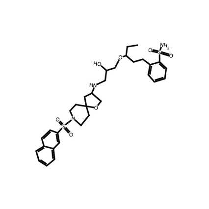 CCC(CCc1ccccc1S(N)(=O)=O)OCC(O)CNC1COC2(CCN(S(=O)(=O)c3ccc4ccccc4c3)CC2)C1